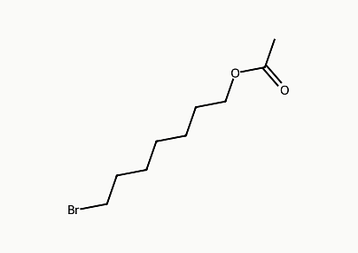 CC(=O)OCCCCCCCBr